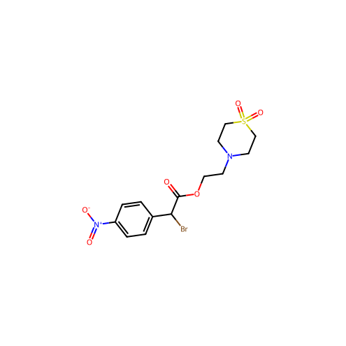 O=C(OCCN1CCS(=O)(=O)CC1)C(Br)c1ccc([N+](=O)[O-])cc1